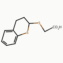 O=C(O)CSC1CCc2ccccc2S1